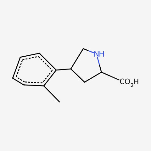 Cc1ccccc1C1CNC(C(=O)O)C1